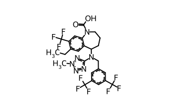 CCc1cc2c(cc1C(F)(F)F)N(C(=O)O)CCCC2N(Cc1cc(C(F)(F)F)cc(C(F)(F)F)c1)c1nnn(C)n1